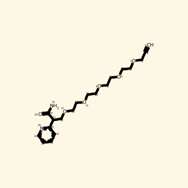 C#CCOCCOCCOCCOCCOCC(C(N)=O)c1ccccn1